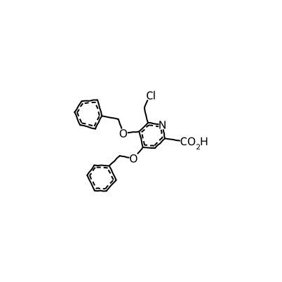 O=C(O)c1cc(OCc2ccccc2)c(OCc2ccccc2)c(CCl)n1